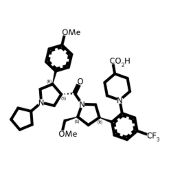 COC[C@@H]1C[C@H](c2ccc(C(F)(F)F)cc2N2CCC(C(=O)O)CC2)CN1C(=O)[C@@H]1CN(C2CCCC2)C[C@H]1c1ccc(OC)cc1